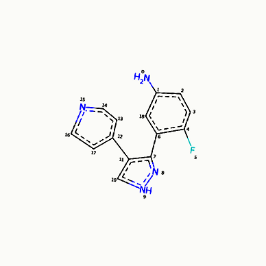 Nc1ccc(F)c(-c2n[nH]cc2-c2ccncc2)c1